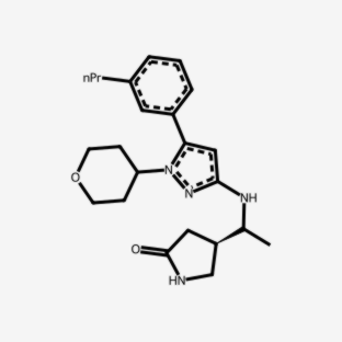 CCCc1cccc(-c2cc(NC(C)[C@H]3CNC(=O)C3)nn2C2CCOCC2)c1